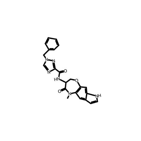 CN1C(=O)C(NC(=O)c2ncn(Cc3ccccc3)n2)COc2cc3[nH]ccc3cc21